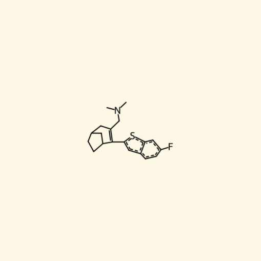 CN(C)CC1=C(c2cc3ccc(F)cc3s2)C2CCC(C1)C2